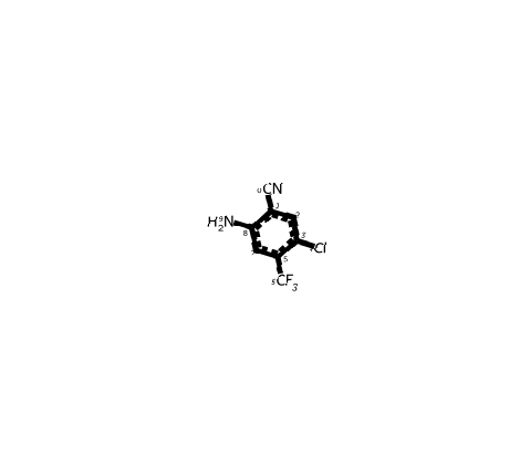 N#Cc1cc(Cl)c(C(F)(F)F)cc1N